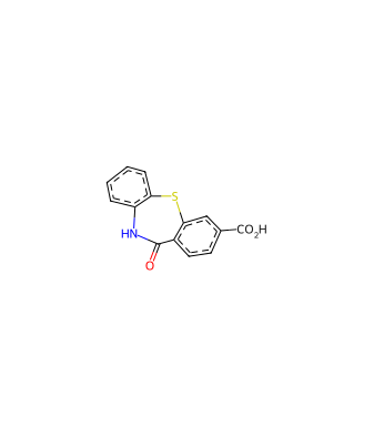 O=C(O)c1ccc2c(c1)Sc1ccccc1NC2=O